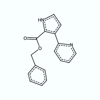 O=C(OCc1ccccc1)c1[nH]ccc1-c1ccccn1